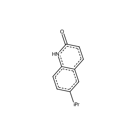 CC(C)c1ccc2[nH]c(=O)ccc2c1